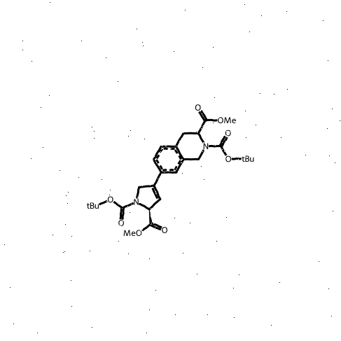 COC(=O)C1Cc2ccc(C3=C[C@@H](C(=O)OC)N(C(=O)OC(C)(C)C)C3)cc2CN1C(=O)OC(C)(C)C